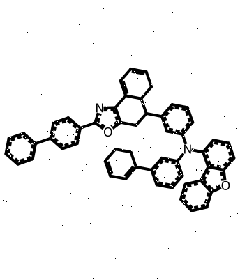 C1=CCCC(c2cccc(N(c3cccc(C4Cc5oc(-c6ccc(-c7ccccc7)cc6)nc5C5=CC=CCC54)c3)c3cccc4oc5ccccc5c34)c2)=C1